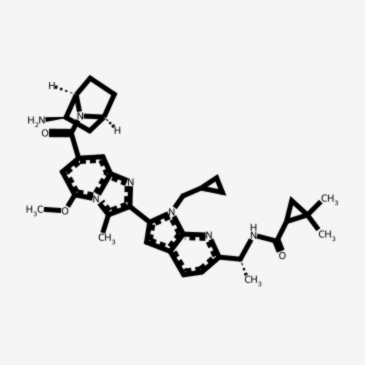 COc1cc(C(=O)N2[C@H]3CC[C@@H]2[C@H](N)C3)cc2nc(-c3cc4ccc([C@@H](C)NC(=O)C5CC5(C)C)nc4n3CC3CC3)c(C)n12